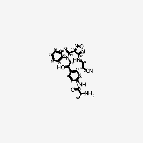 C[C@H](N)C(=O)Nc1ccc(C(O)Cn2c(-c3nonc3NCCC#N)nc3ccccc32)cn1